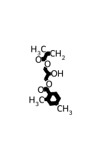 C=C(C)C(=O)OCC(O)COC(=O)c1ccc(C)cc1C